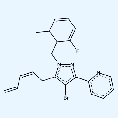 C=C/C=C\Cc1c(Br)c(-c2ccccn2)nn1CC1C(F)=CC=CC1C